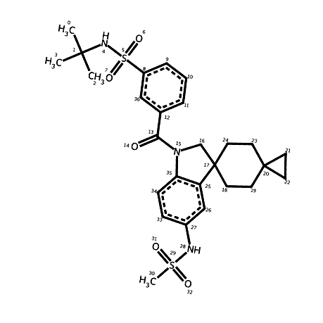 CC(C)(C)NS(=O)(=O)c1cccc(C(=O)N2CC3(CCC4(CC4)CC3)c3cc(NS(C)(=O)=O)ccc32)c1